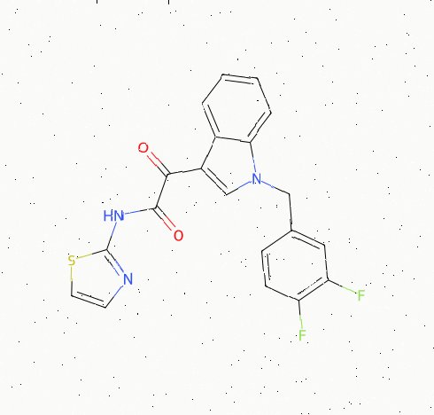 O=C(Nc1nccs1)C(=O)c1cn(Cc2ccc(F)c(F)c2)c2ccccc12